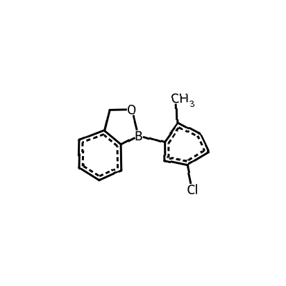 Cc1ccc(Cl)cc1B1OCc2ccccc21